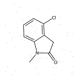 CN1C(=O)Cc2c(Cl)cccc21